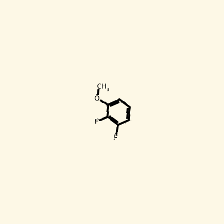 COc1cc[c]c(F)c1F